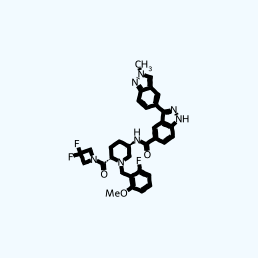 COc1cccc(F)c1CN1C[C@H](NC(=O)c2ccc3[nH]nc(-c4ccc5nn(C)cc5c4)c3c2)CC[C@H]1C(=O)N1CC(F)(F)C1